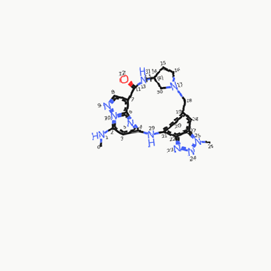 CNc1cc2nc3c(cnn13)C(=O)N[C@@H]1CCN(Cc3cc(c4nnn(C)c4c3)N2)C1